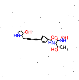 C[C@@H](O)[C@H](NC(=O)c1ccc(C#CC#CC[C@H]2NCC[C@@H]2O)cc1)C(=O)NO